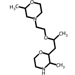 CC(CC1OCCNC1C)OCCN1CCOC(C)C1